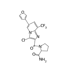 NC(=O)C1CCCN1C(=O)c1nc2c(C(F)(F)F)cc(-c3ccoc3)cn2c1Cl